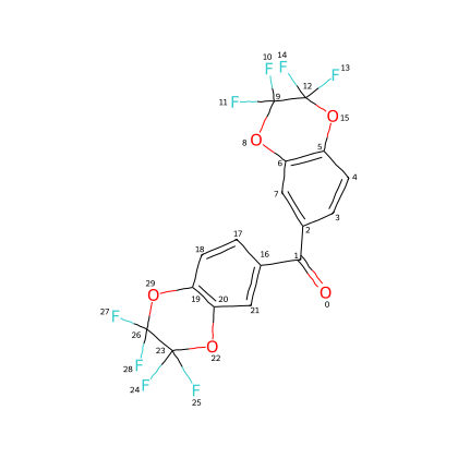 O=C(c1ccc2c(c1)OC(F)(F)C(F)(F)O2)c1ccc2c(c1)OC(F)(F)C(F)(F)O2